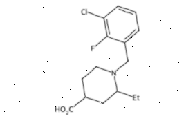 CCC1CC(C(=O)O)CCN1Cc1cccc(Cl)c1F